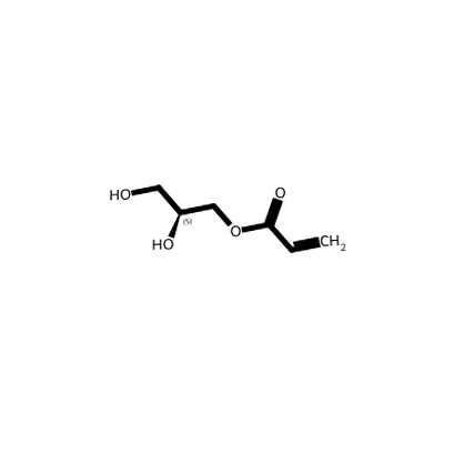 C=CC(=O)OC[C@@H](O)CO